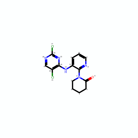 O=C1CCCCN1c1ncccc1Nc1nc(Cl)ncc1Cl